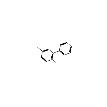 [CH2]Cc1ccc(Cl)cc1-c1ccccc1